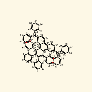 c1ccc(-c2c(-c3ccccc3)c(-c3ccccc3)c3c4cc(N(c5ccccc5)c5ccccc5)ccc4c4ccc(N(c5ccccc5)c5ccccc5)cc4c3c2-c2ccccc2)cc1